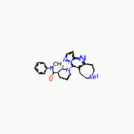 CN(C(=O)C1CCCN(c2c3c(nc4ccnn24)CCNCC3)C1)c1ccccc1